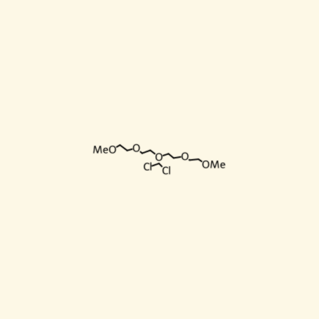 COCCOCCOCCOCCOC.ClCCl